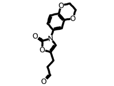 O=CCCc1cn(-c2ccc3c(c2)OCCO3)c(=O)o1